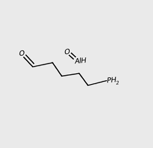 O=CCCCCP.[O]=[AlH]